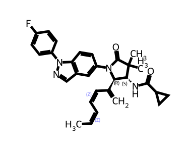 C=C(/C=C\C=C/C)[C@@H]1[C@@H](NC(=O)C2CC2)C(C)(C)C(=O)N1c1ccc2c(cnn2-c2ccc(F)cc2)c1